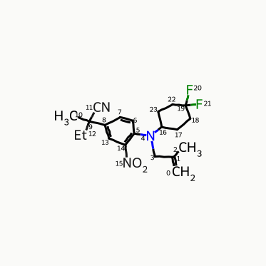 C=C(C)CN(c1ccc(C(C)(C#N)CC)cc1[N+](=O)[O-])C1CCC(F)(F)CC1